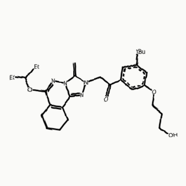 C=C1N(CC(=O)c2cc(OCCCO)cc(C(C)(C)C)c2)N=C2C3=C(CCCC3)C(OC(CC)CC)=NN12